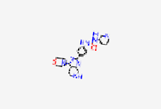 O=C(Nc1ccc(-c2nc3c(c(N4C5CCC4COC5)n2)CCNC3)cc1)Nc1cccnc1